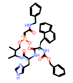 CC(CO/[P+]([O-])=C/C(=O)NCc1ccccc1)C(C)NC(=O)[C@H](Cc1c[nH]cn1)NC(=O)[C@@H](Cc1cccc2ccccc12)NC(=O)OCc1ccccc1